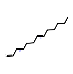 CCCCC/C=C/CC/C=C/[C]=O